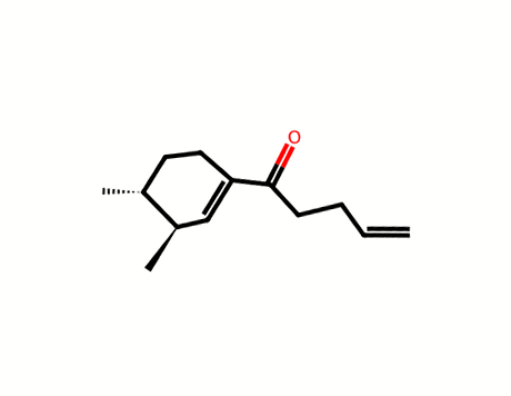 C=CCCC(=O)C1=C[C@@H](C)[C@H](C)CC1